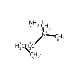 CN(C)C.N.[CH2]C